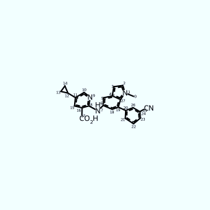 Cn1ccc2cc(Nc3ncc(C4CC4)cc3C(=O)O)cc(-c3cccc(C#N)c3)c21